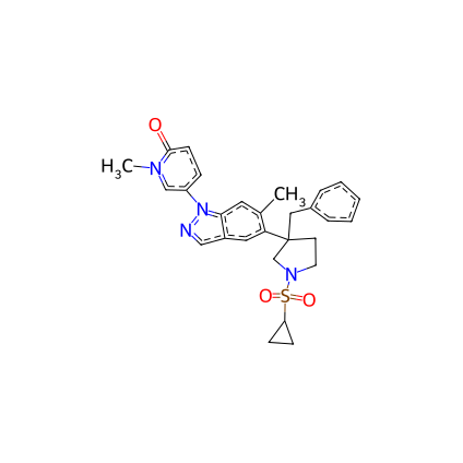 Cc1cc2c(cnn2-c2ccc(=O)n(C)c2)cc1C1(Cc2ccccc2)CCN(S(=O)(=O)C2CC2)C1